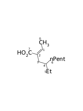 CC=C(CC(CC)CCCCC)C(=O)O